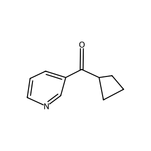 O=C(c1cccnc1)C1CCC1